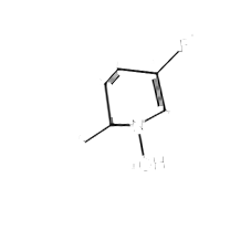 CC1C=CC(F)=CN1O